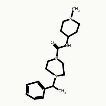 CC(c1ccccc1)N1CCN(C(=O)NC2CCN(C)CC2)CC1